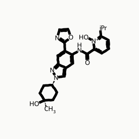 CC(C)c1cccc(C(=O)Nc2cc3cn([C@H]4CC[C@](C)(O)CC4)nc3cc2-c2ncco2)[n+]1O